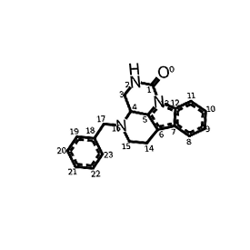 O=C1NCC2c3c(c4ccccc4n31)CCN2Cc1ccccc1